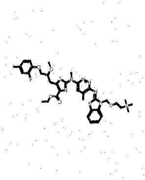 CCOC(=O)c1nc(N(C)c2cc(C)c(/N=c3\sc4ccccc4n3COCC[Si](C)(C)C)nn2)sc1CC(COc1ccc(I)cc1F)OC